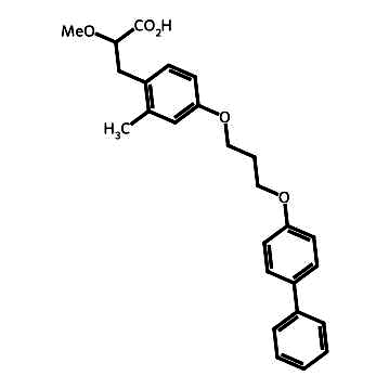 COC(Cc1ccc(OCCCOc2ccc(-c3ccccc3)cc2)cc1C)C(=O)O